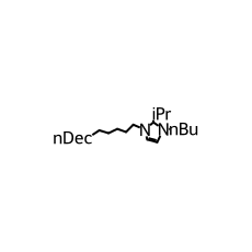 CCCCCCCCCCCCCCCN1C=CN(CCCC)C1C(C)C